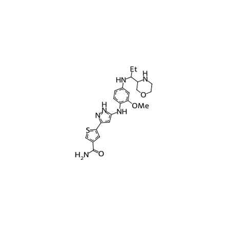 CCC(Nc1ccc(Nc2cc(-c3cc(C(N)=O)cs3)n[nH]2)c(OC)c1)C1COCCN1